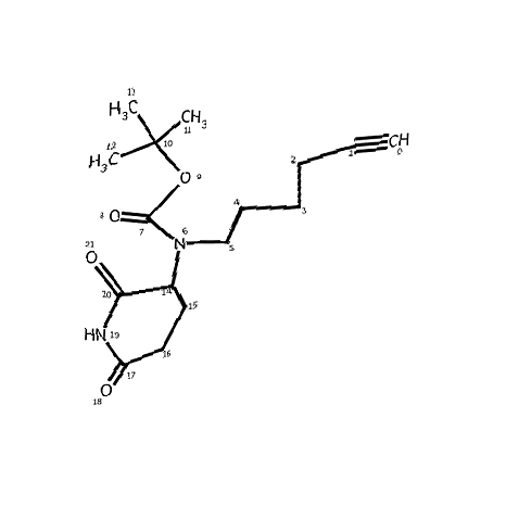 C#CCCCCN(C(=O)OC(C)(C)C)C1CCC(=O)NC1=O